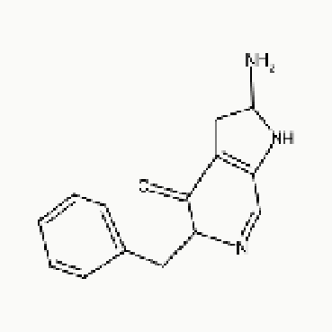 NC1CC2=C(C=NC(Cc3ccccc3)C2=O)N1